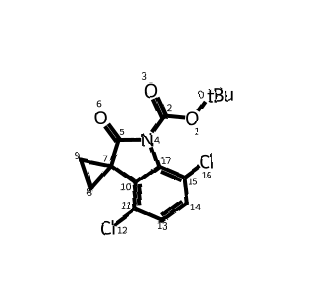 CC(C)(C)OC(=O)N1C(=O)C2(CC2)c2c(Cl)ccc(Cl)c21